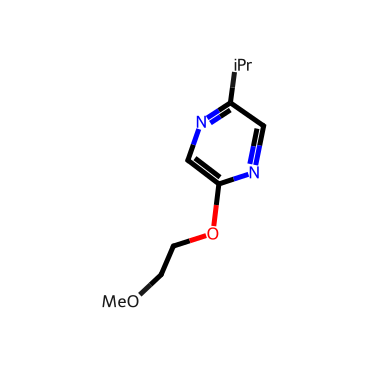 COCCOc1cnc(C(C)C)cn1